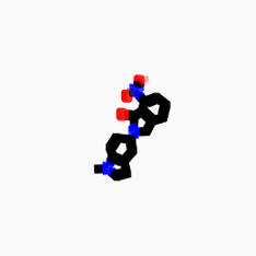 Cn1ccc2cc(N3Cc4cccc([N+](=O)[O-])c4C3=O)ccc21